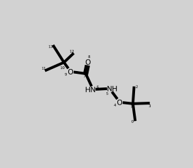 CC(C)(C)ONNC(=O)OC(C)(C)C